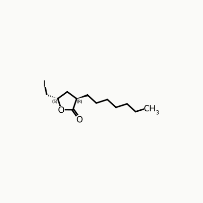 CCCCCCC[C@@H]1C[C@@H](CI)OC1=O